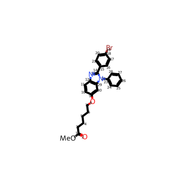 COC(=O)CCCCCOc1ccc2nc(-c3ccc(Br)cc3)n(-c3ccccc3)c2c1